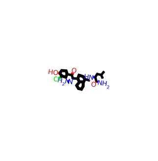 CC(C)CC(NCc1ccc(C(=NN)C(=O)c2ccc(O)c(Cl)c2)c2ccccc12)C(N)=O